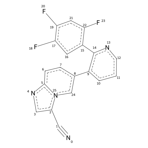 N#Cc1cnc2ccc(-c3cccnc3-c3cc(F)c(F)cc3F)cn12